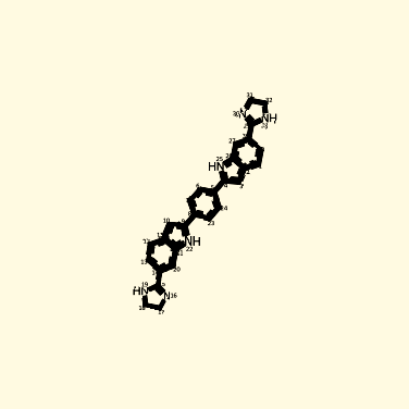 c1cc2cc(-c3ccc(-c4cc5ccc(C6=NCCN6)cc5[nH]4)cc3)[nH]c2cc1C1=NCCN1